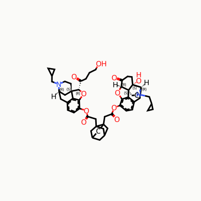 O=C(CC12CC3CC(C1)CC2(CC(=O)Oc1ccc2c4c1O[C@H]1C(=O)CC[C@@]5(O)[C@@H](C2)N(CC2CC2)CC[C@]415)C3)Oc1ccc2c3c1O[C@@H](C(=O)CCCO)[C@]31CCN(CC3CC3)[C@H](C2)C1